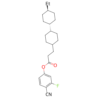 CC[C@H]1CC[C@H](C2CCC(CCC(=O)Oc3ccc(C#N)c(F)c3)CC2)CC1